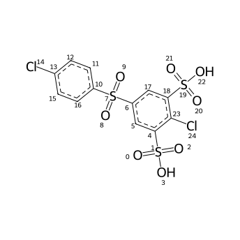 O=S(=O)(O)c1cc(S(=O)(=O)c2ccc(Cl)cc2)cc(S(=O)(=O)O)c1Cl